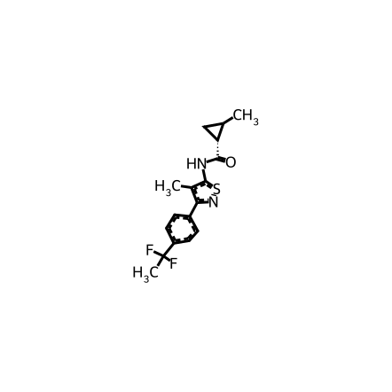 Cc1c(-c2ccc(C(C)(F)F)cc2)nsc1NC(=O)[C@@H]1CC1C